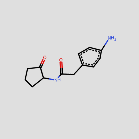 Nc1ccc(CC(=O)NC2CCCC2=O)cc1